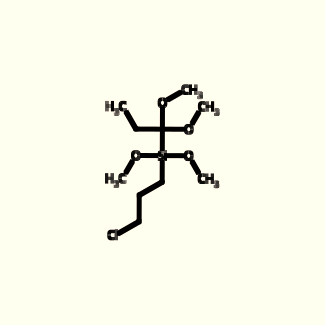 CCC(OC)(OC)[Si](CCCCl)(OC)OC